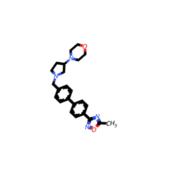 Cc1nc(-c2ccc(-c3ccc(CN4CCC(N5CCOCC5)C4)cc3)cc2)no1